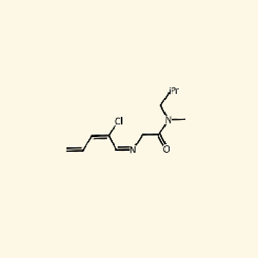 C=C/C=C(Cl)\C=N/CC(=O)N(C)CC(C)C